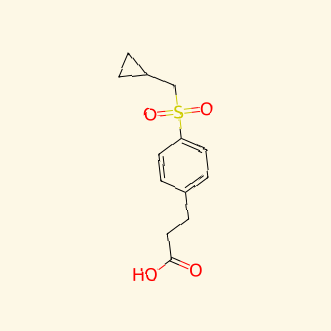 O=C(O)CCc1ccc(S(=O)(=O)CC2CC2)cc1